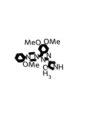 COc1cc2nc([C@@H]3CNC[C@H]3C)nc(N3CCN(c4ccccc4OC)CC3)c2cc1OC